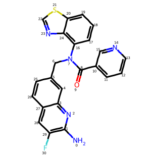 Nc1nc2cc(CN(C(=O)c3cccnc3)c3cccc4scnc34)ccc2cc1F